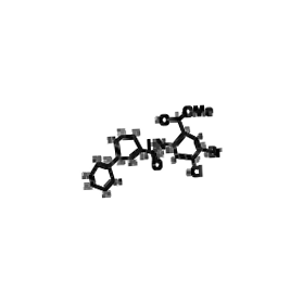 COC(=O)c1cc(Br)c(Cl)cc1NC(=O)c1cccc(-c2ccccc2)c1